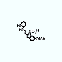 COc1ccc2c(c1)N(C(=O)O)C(CCNC1CCCCN1)C2